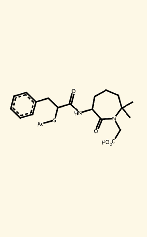 CC(=O)SC(Cc1ccccc1)C(=O)NC1CCCC(C)(C)N(CC(=O)O)C1=O